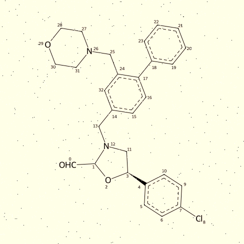 O=CC1O[C@H](c2ccc(Cl)cc2)CN1Cc1ccc(-c2ccccc2)c(CN2CCOCC2)c1